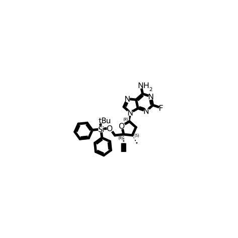 C#C[C@]1(CO[Si](c2ccccc2)(c2ccccc2)C(C)(C)C)O[C@@H](n2cnc3c(N)nc(F)nc32)C[C@@H]1C